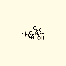 CC1C(=O)N(c2ncc(C(C)(C)C)o2)C(O)C1C